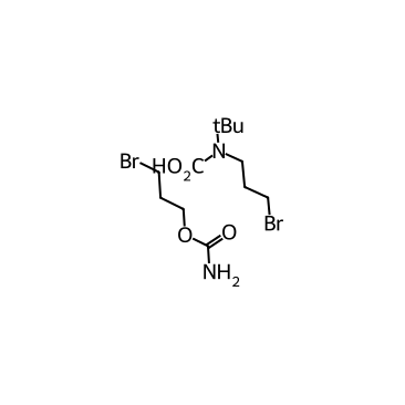 CC(C)(C)N(CCCBr)C(=O)O.NC(=O)OCCCBr